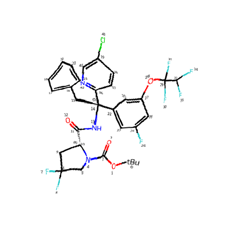 CC(C)(C)OC(=O)N1CC(F)(F)C[C@@H]1C(=O)N[C@@](Cc1ccccc1)(c1cc(F)cc(OC(F)(F)C(F)F)c1)c1ccc(Cl)cn1